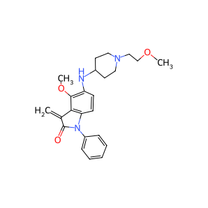 C=C1C(=O)N(c2ccccc2)c2ccc(NC3CCN(CCOC)CC3)c(OC)c21